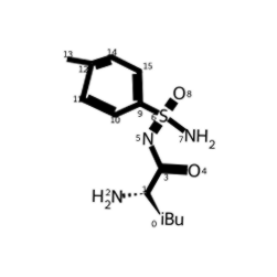 CC[C@H](C)[C@H](N)C(=O)N=S(N)(=O)c1ccc(C)cc1